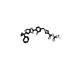 O=C(OC(=O)C(F)(F)F)C1CN(Cc2ccc(-c3nc4cnc(C5(c6ccccc6)CC5)cc4s3)c(F)c2)C1